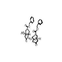 O=C1C[C@@H]2CN(C(=O)OCc3ccccc3)C[C@]2(O)C1.O=C1C[C@H]2CN(C(=O)OCc3ccccc3)C[C@@]2(O)C1